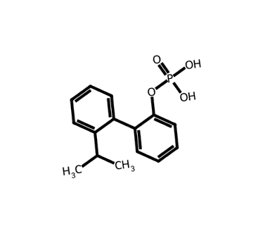 CC(C)c1ccccc1-c1ccccc1OP(=O)(O)O